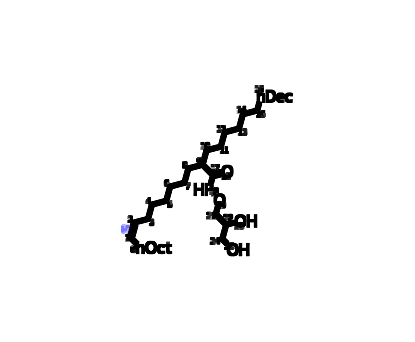 CCCCCCCC/C=C\CCCCCCC(CCCCCCCCCCCCCCCC)C(=O)POCC(O)CO